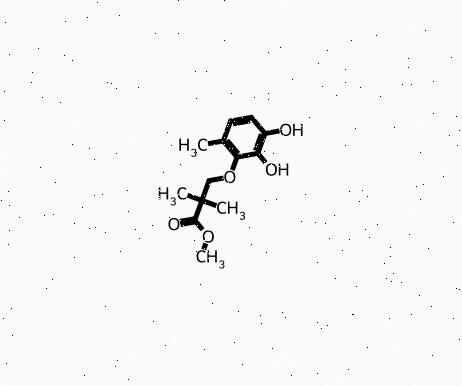 COC(=O)C(C)(C)COc1c(C)ccc(O)c1O